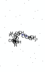 CC(C)=CCC/C(C)=C/CC/C(C)=C/CCC1(C)CCc2cc(OC(=O)CCC([PH](=O)O)P(=O)(O)N=O)c(C)c(C)c2O1